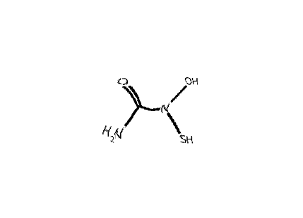 NC(=O)N(O)S